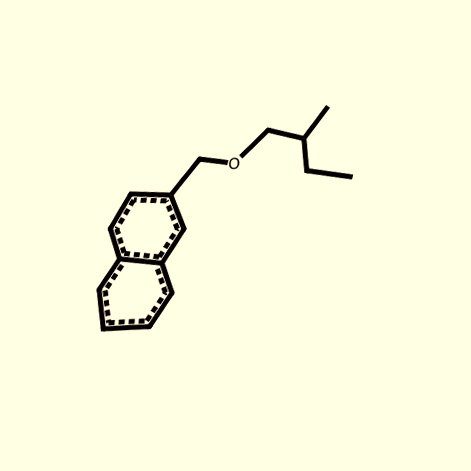 CCC(C)COCc1ccc2ccccc2c1